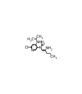 CCC/C(N)=C/N(N)c1cnc(Cl)cc1NC(C)C